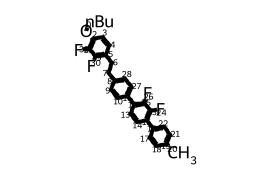 CCCCOc1ccc(CCc2ccc(-c3ccc(-c4ccc(C)cc4)c(F)c3F)cc2)c(F)c1F